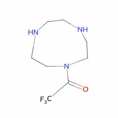 O=C(N1CCNCCNCC1)C(F)(F)F